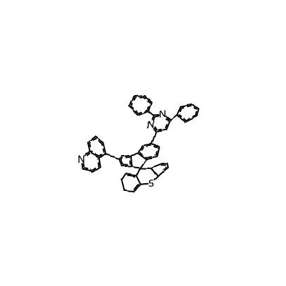 C1=CC2SC3=CCCC=C3C3(c4ccc(-c5cc(-c6ccccc6)nc(-c6ccccc6)n5)cc4-c4cc(-c5cccc6ncccc56)ccc43)C2C=C1